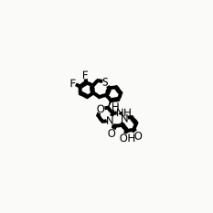 O=C1c2c(O)c(=O)ccn2N[C@@H]2[C@H](c3cccc4c3Cc3ccc(F)c(F)c3CS4)OCCN12